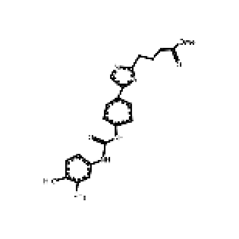 COC(=O)CCCc1ncc(-c2ccc(NC(=O)Nc3ccc(C)c(C)c3)cc2)s1